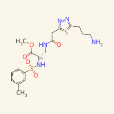 COC(=O)[C@H](CNC(=O)Cc1nnc(CCCN)s1)NS(=O)(=O)c1cccc(C)c1